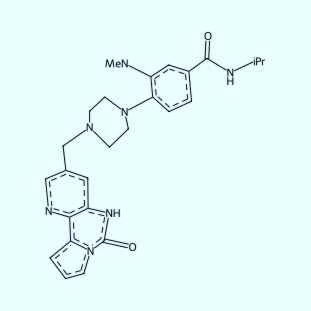 CNc1cc(C(=O)NC(C)C)ccc1N1CCN(Cc2cnc3c(c2)[nH]c(=O)n2cccc32)CC1